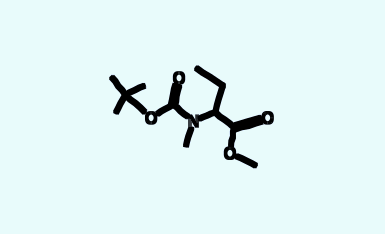 CCC(C(=O)OC)N(C)C(=O)OC(C)(C)C